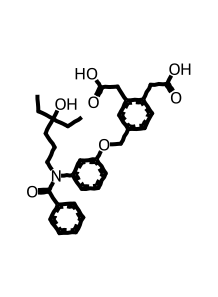 CCC(O)(CC)CCCN(C(=O)c1ccccc1)c1cccc(OCc2ccc(CC(=O)O)c(CC(=O)O)c2)c1